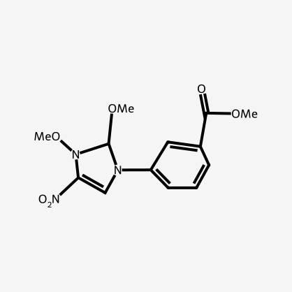 COC(=O)c1cccc(N2C=C([N+](=O)[O-])N(OC)C2OC)c1